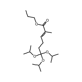 CCCOC(=O)C(C)=CCCC(OC(C)C)(OC(C)C)OC(C)C